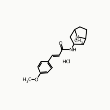 COc1ccc(C=CC(=O)NC2CC3CCC(C2)N3C)cc1.Cl